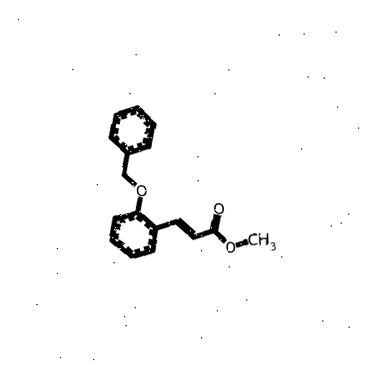 COC(=O)/C=C/c1ccccc1OCc1ccccc1